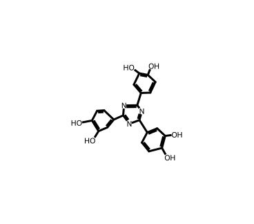 Oc1ccc(-c2nc(-c3ccc(O)c(O)c3)nc(-c3ccc(O)c(O)c3)n2)cc1O